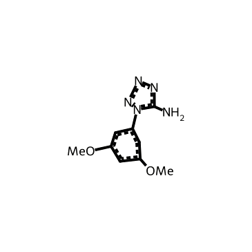 COc1cc(OC)cc(-n2nnnc2N)c1